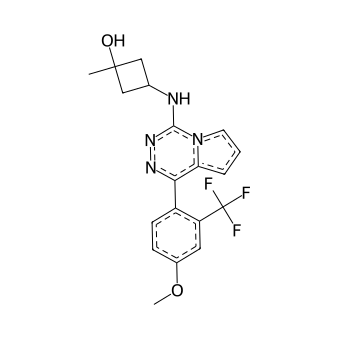 COc1ccc(-c2nnc(NC3CC(C)(O)C3)n3cccc23)c(C(F)(F)F)c1